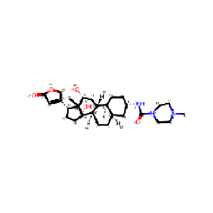 CN1CCN(C(=O)N[C@H]2CC[C@@]3(C)[C@H](CC[C@@H]4[C@@H]3C[C@@H](O)C3(C)[C@@H](C5=CC(=O)OC5)CC[C@]43O)C2)CC1